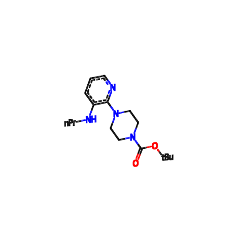 CCCNc1cccnc1N1CCN(C(=O)OC(C)(C)C)CC1